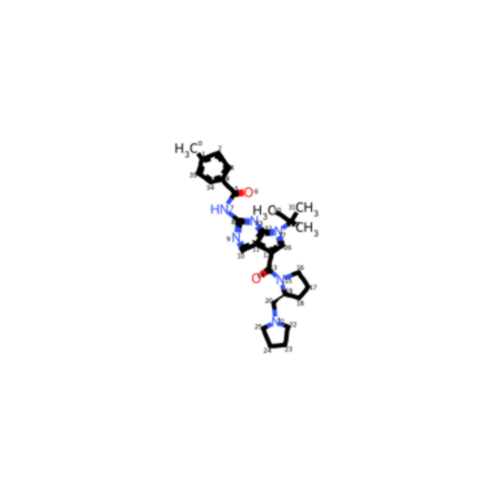 Cc1ccc(C(=O)Nc2ncc3c(C(=O)N4CCC[C@H]4CN4CCCC4)cn(C(C)(C)C)c3n2)cc1